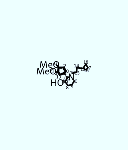 COc1ccc([C@H]2[C@@H](O)CCCN2CCCC2CCC2)cc1OC